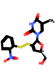 Cc1cn(C2O[C@H](CO)C=C2SSc2ccccc2[N+](=O)[O-])c(=O)[nH]c1=O